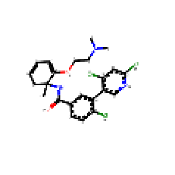 CN(C)CCOC1=CC=CCC1(C)NC(=O)c1ccc(Cl)c(-c2cnc(Cl)cc2Cl)c1